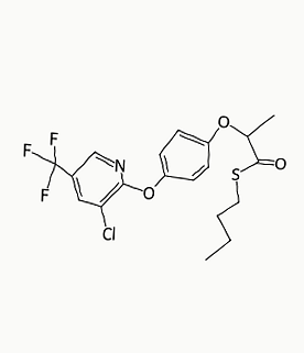 CCCCSC(=O)C(C)Oc1ccc(Oc2ncc(C(F)(F)F)cc2Cl)cc1